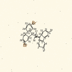 Cc1ccc2c(c1)-c1cc(C)ccc1C2[Si](C)(C)C1c2cc(Br)ccc2-c2ccc(Br)cc21